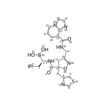 CC(C)C[C@H](NC(=O)C1(Cc2cscn2)CC(CNC(=O)c2cccn3ccnc23)=NO1)B(O)O